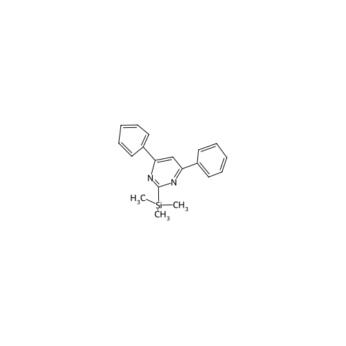 C[Si](C)(C)c1nc(-c2ccccc2)cc(-c2ccccc2)n1